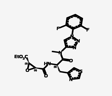 CCOC(=O)[C@H]1O[C@@H]1C(=O)N[C@@H](Cc1cscn1)C(=O)N(C)c1cn(-c2c(F)cccc2F)nn1